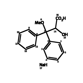 COC(c1ccccc1)(c1ccccc1)C(O)C(=O)O.[NaH]